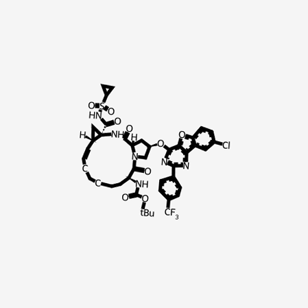 CC(C)(C)OC(=O)N[C@H]1CCCCC/C=C\[C@@H]2C[C@@]2(C(=O)NS(=O)(=O)C2CC2)NC(=O)[C@@H]2C[C@@H](Oc3nc(-c4ccc(C(F)(F)F)cc4)nc4c3oc3ccc(Cl)cc34)CN2C1=O